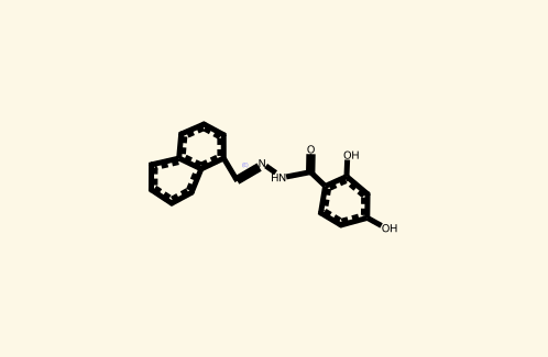 O=C(N/N=C/c1cccc2ccccc12)c1ccc(O)cc1O